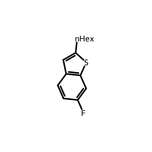 [CH2]CCCCCc1cc2ccc(F)cc2s1